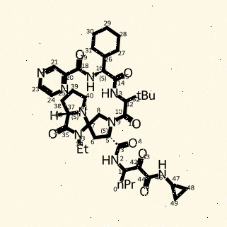 CCCC(NC(=O)[C@@H]1CC2(CN1C(=O)C(NC(=O)[C@@H](NC(=O)c1cnccn1)C1CCCCC1)C(C)(C)C)N(CC)C(=O)[C@@H]1CCCN12)C(=O)C(=O)NC1CC1